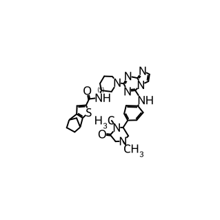 CN1CC(=O)N(C)C(c2ccc(Nc3nc(N4CCC[C@H](NC(=O)c5cc6c(s5)C5CCC6C5)C4)nc4nccn34)cc2)C1